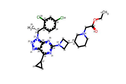 CCOC(=O)CN1CCC[C@H](C2CN(c3nc(C4CC4)c4nnn([C@H](C)c5ccc(Cl)cc5Cl)c4n3)C2)C1